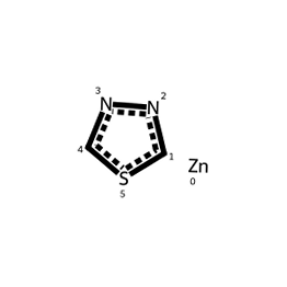 [Zn].c1nncs1